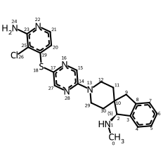 CN[C@@H]1c2ccccc2CC12CCN(c1cnc(Sc3ccnc(N)c3Cl)cn1)CC2